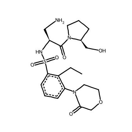 CCc1c(N2CCOCC2=O)cccc1S(=O)(=O)N[C@@H](CN)C(=O)N1CCC[C@H]1CO